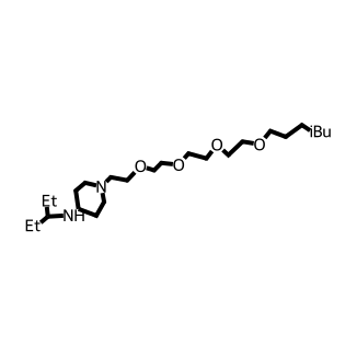 CCC(C)CCCOCCOCCOCCOCCN1CCC(NC(CC)CC)CC1